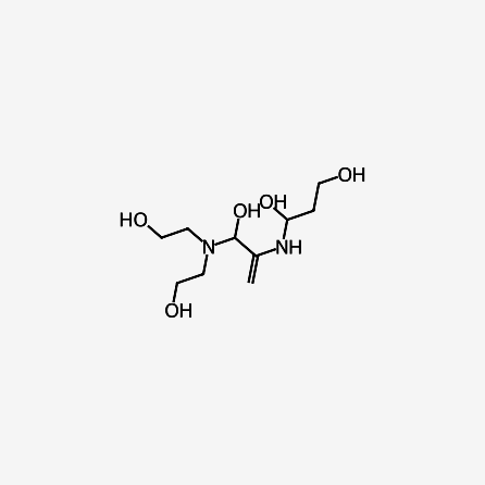 C=C(NC(O)CCO)C(O)N(CCO)CCO